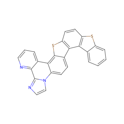 c1ccc2c(c1)sc1ccc3sc4c(ccc5c4c4cccnc4c4nccn54)c3c12